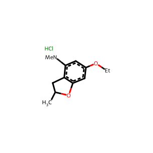 CCOc1cc(NC)c2c(c1)OC(C)C2.Cl